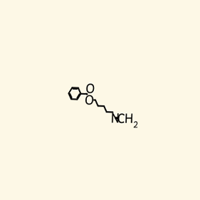 C=NCCCCCOC(=O)c1ccccc1